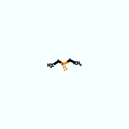 CC[PH2]CC